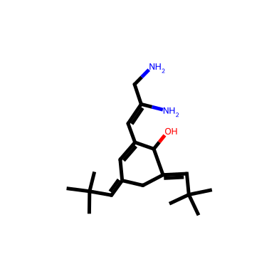 CC(C)(C)C=C1C=C(C=C(N)CN)C(O)C(=CC(C)(C)C)C1